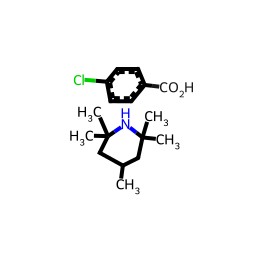 CC1CC(C)(C)NC(C)(C)C1.O=C(O)c1ccc(Cl)cc1